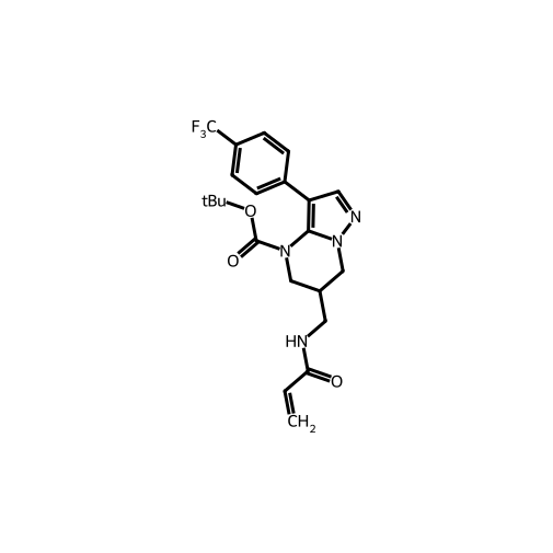 C=CC(=O)NCC1CN(C(=O)OC(C)(C)C)c2c(-c3ccc(C(F)(F)F)cc3)cnn2C1